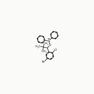 CC(C)(C)C(O[SiH](c1ccccc1)c1ccccc1)c1cc(Br)ccc1Cl